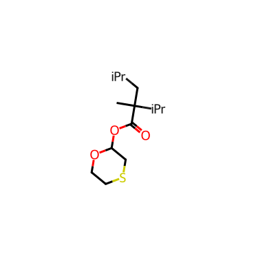 CC(C)CC(C)(C(=O)OC1CSCCO1)C(C)C